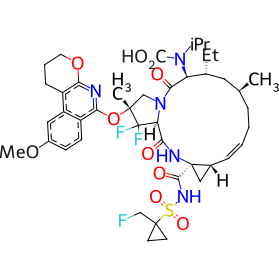 CC[C@@H]1C[C@@H](C)CC/C=C\[C@@H]2C[C@@]2(C(=O)NS(=O)(=O)C2(CF)CC2)NC(=O)[C@@H]2N(C[C@@](C)(Oc3nc4c(c5cc(OC)ccc35)CCCO4)C2(F)F)C(=O)[C@H]1N(C(=O)O)C(C)C